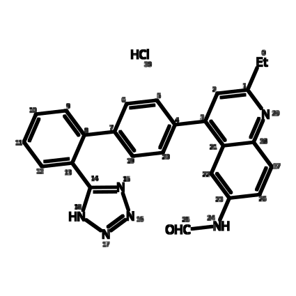 CCc1cc(-c2ccc(-c3ccccc3-c3nnn[nH]3)cc2)c2cc(NC=O)ccc2n1.Cl